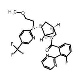 COCCN(c1ccc(C(F)(F)F)cn1)[C@@H]1C[C@@H]2C[C@@H]1N(C(=O)c1cccc(F)c1-c1ncccn1)C2